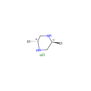 CC[C@@H]1CN[C@@H](CC)CN1.Cl